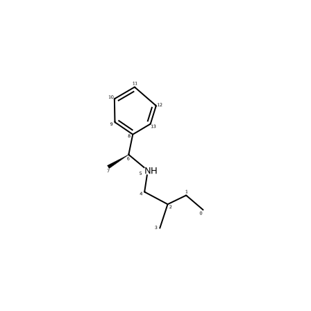 CCC(C)CN[C@@H](C)c1ccccc1